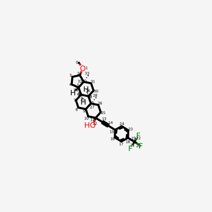 COC1CC[C@H]2[C@@H]3CCC4CC(O)(C#Cc5ccc(C(F)(F)F)cc5)CC[C@]4(C)[C@@H]3CC[C@]12C